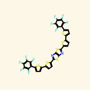 Fc1c(F)c(F)c(-c2ccc(-c3ccc(-c4nc5sc(-c6ccc(-c7ccc(-c8c(F)c(F)c(F)c(F)c8F)s7)s6)nc5s4)s3)s2)c(F)c1F